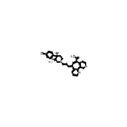 CC(=O)C1=CC(=CCCN2CC[C@@](O)(c3ccc(Cl)cc3)C(C)(C)C2)c2cccnc2C2=C1C=COC2